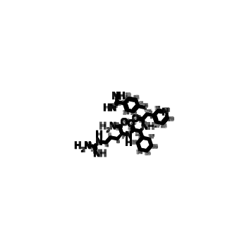 N=C(N)NCCC[C@H](NC(=O)[C@@H](NC(=O)[C@H](Cc1ccc(C(=N)N)cc1)c1cccnc1)C1CCCCC1)C(N)=O